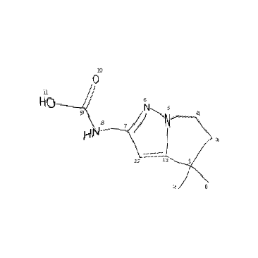 CC1(C)CCn2nc(NC(=O)O)cc21